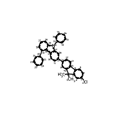 CC1(C)c2cc(Cl)ccc2-c2ccc(-c3ccc4c5c(-c6ccccc6)cccc5n(-c5ccccc5)c4c3)cc21